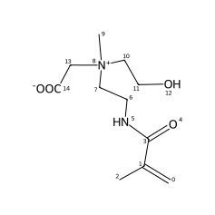 C=C(C)C(=O)NCC[N+](C)(CCO)CC(=O)[O-]